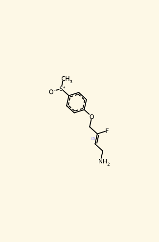 C[S+]([O-])c1ccc(OC/C(F)=C/CN)cc1